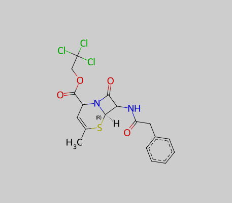 CC1=CC(C(=O)OCC(Cl)(Cl)Cl)N2C(=O)C(NC(=O)Cc3ccccc3)[C@H]2S1